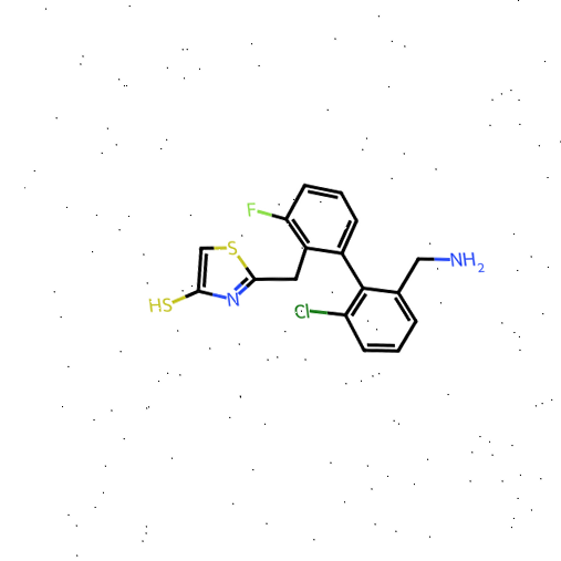 NCc1cccc(Cl)c1-c1cccc(F)c1Cc1nc(S)cs1